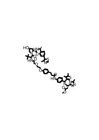 COC(=O)C[C@@H]1N=C(c2ccc(NC(=O)CCc3ccc(OCCOCC(=O)N[C@H](C(=O)N4C[C@H](O)C[C@H]4C(=O)N[C@@H](C)c4ccc(-c5scnc5C)cc4)C(C)(C)C)cc3)cc2)c2c(sc(C)c2C)-n2c(C)nnc21